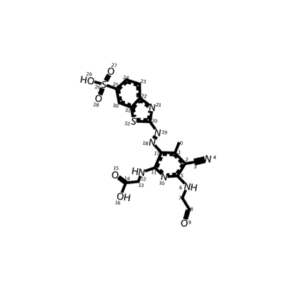 Cc1c(C#N)c(NCC=O)nc(NCC(=O)O)c1N=Nc1nc2ccc(S(=O)(=O)O)cc2s1